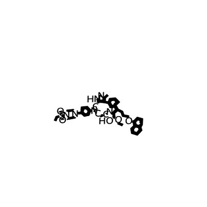 CCOC(O)c1c(CCCOc2cccc3ccccc23)c2cccc3c2n1CCCN(c1ccc(N2CCN(S(=O)(=O)CC)CC2)cc1)Cc1[nH]nc(C)c1-3